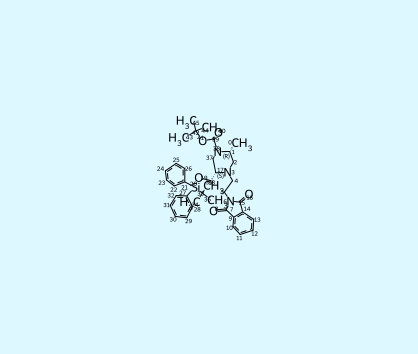 C[C@@H]1CN(CCN2C(=O)c3ccccc3C2=O)[C@H](CO[Si](c2ccccc2)(c2ccccc2)C(C)(C)C)CN1C(=O)OC(C)(C)C